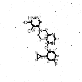 O=c1[nH]ncc(N2CCc3c(ncnc3Oc3ccc(F)cc3C3CC3)C2)c1Cl